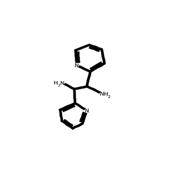 NC(c1ccccn1)C(N)c1ccccn1